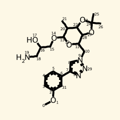 COc1cccc(-c2cn(CC3OC(OCC(O)CN)C(C)C4OC(C)(C)OC34)nn2)c1